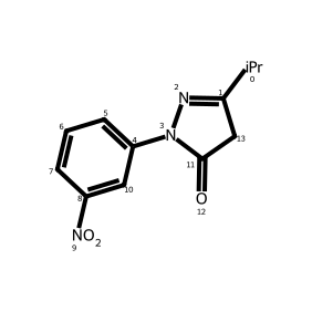 CC(C)C1=NN(c2cccc([N+](=O)[O-])c2)C(=O)C1